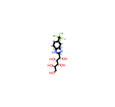 OC[C@@H](O)[C@@H](O)[C@H](O)[C@@H](O)c1nc2cc(C(F)(F)F)ccc2[nH]1